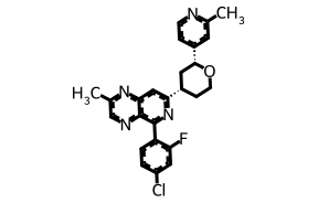 Cc1cc([C@H]2C[C@@H](c3cc4nc(C)cnc4c(-c4ccc(Cl)cc4F)n3)CCO2)ccn1